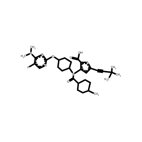 CC1CCC(C(=O)N(c2cc(C#CC(C)(C)C)sc2C(=O)O)C2CCC(Oc3ncc(F)c(N(C)C)n3)CC2)CC1